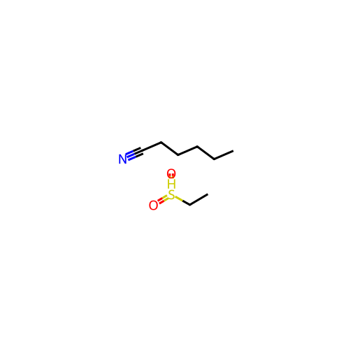 CCCCCC#N.CC[SH](=O)=O